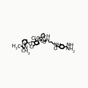 Cc1nc2c(OCc3c(Cl)ccc(S(=O)(=O)N4CCC[C@H]4C(=O)NCCCNC(=O)c4ccc(C(=N)N)cc4)c3Cl)cccn2c1C